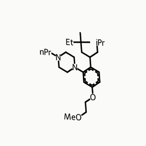 CCCN1CCN(c2cc(OCCOC)ccc2C(CC(C)C)CC(C)(C)CC)CC1